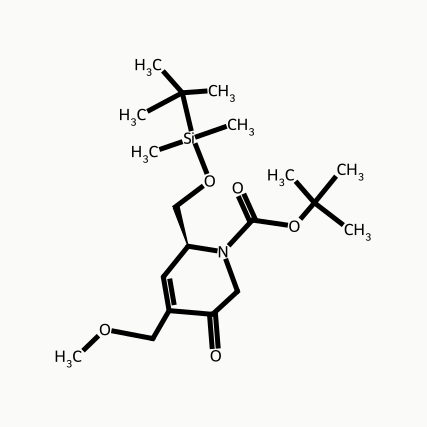 COCC1=C[C@@H](CO[Si](C)(C)C(C)(C)C)N(C(=O)OC(C)(C)C)CC1=O